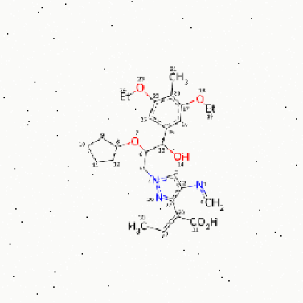 C=Nc1cn(CC(OC2CCCC2)C(O)c2cc(OCC)c(C)c(OCC)c2)nc1/C(=C\C)C(=O)O